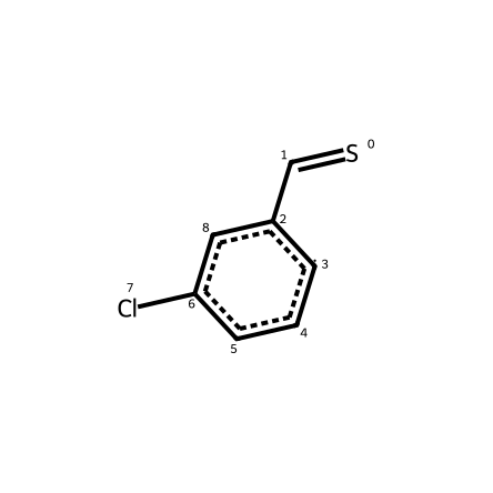 S=Cc1[c]ccc(Cl)c1